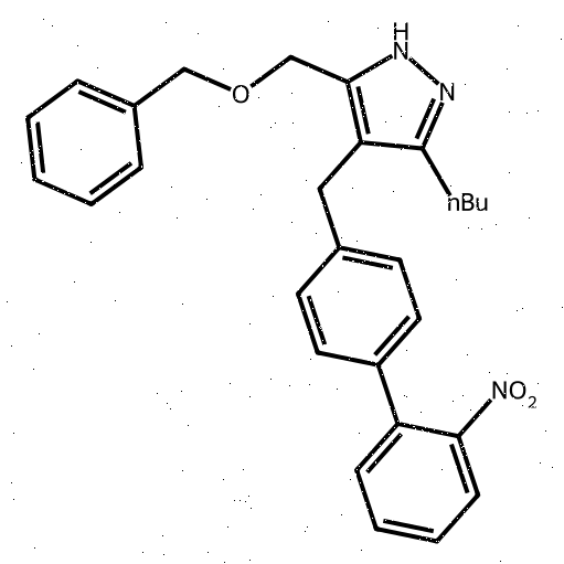 CCCCc1n[nH]c(COCc2ccccc2)c1Cc1ccc(-c2ccccc2[N+](=O)[O-])cc1